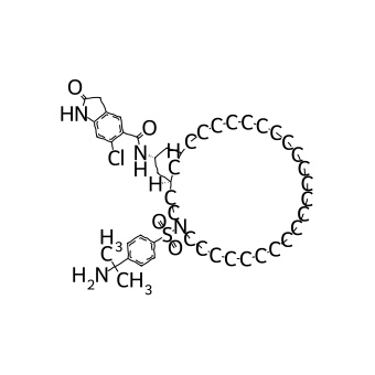 CC(C)(N)c1ccc(S(=O)(=O)N2CCCCCCCCCCCCCCCCCCCCCC[C@@H]3C[C@@H](CC2)C[C@H](NC(=O)c2cc4c(cc2Cl)NC(=O)C4)C3)cc1